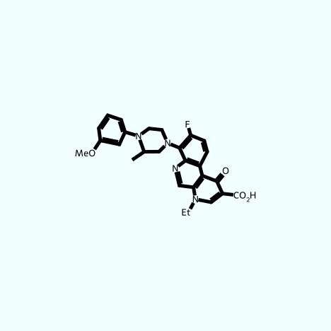 CCn1cc(C(=O)O)c(=O)c2c3ccc(F)c(N4CCN(c5cccc(OC)c5)C(C)C4)c3ncc21